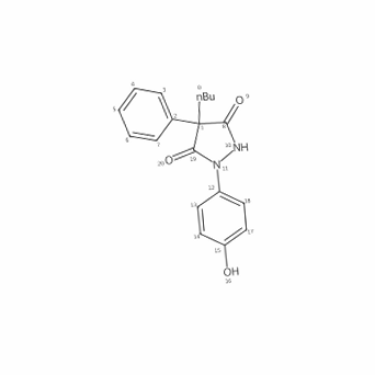 CCCCC1(c2ccccc2)C(=O)NN(c2ccc(O)cc2)C1=O